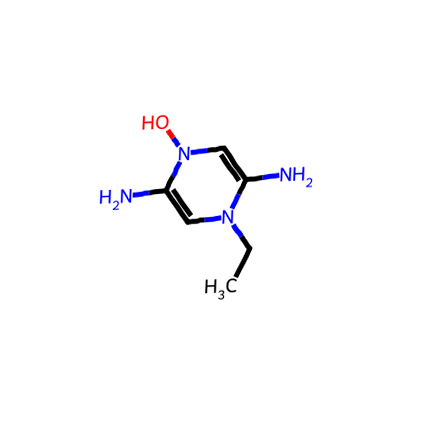 CCN1C=C(N)N(O)C=C1N